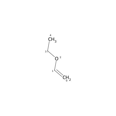 C=CO[CH]C